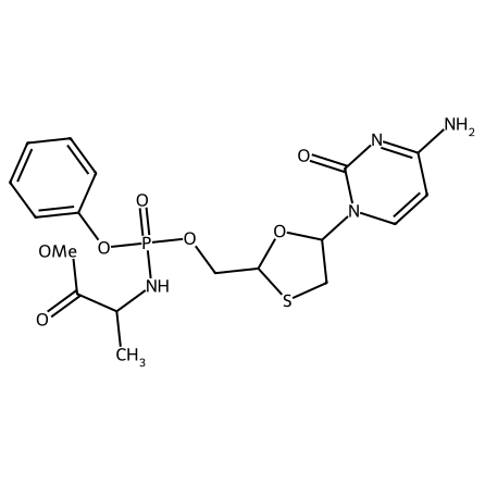 COC(=O)C(C)NP(=O)(OCC1OC(n2ccc(N)nc2=O)CS1)Oc1ccccc1